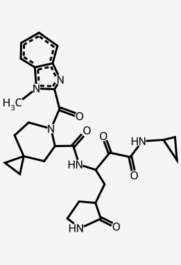 Cn1c(C(=O)N2CCC3(CC3)CC2C(=O)NC(CC2CCNC2=O)C(=O)C(=O)NC2CC2)nc2ccccc21